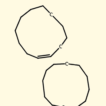 C1=CCCCCCCCCCC1.C1CCCCCCCCCCC1